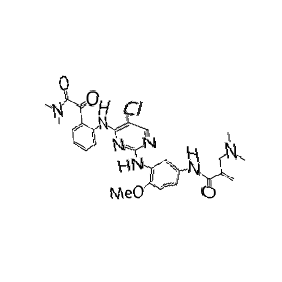 C=C(CN(C)C)C(=O)Nc1ccc(OC)c(Nc2ncc(Cl)c(Nc3ccccc3C(=O)C(=O)N(C)C)n2)c1